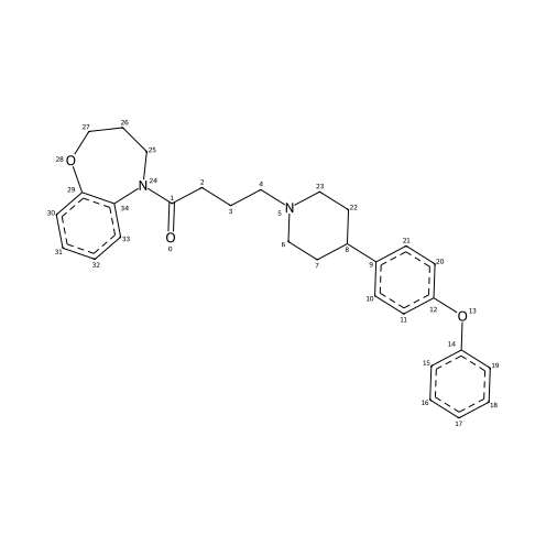 O=C(CCCN1CCC(c2ccc(Oc3ccccc3)cc2)CC1)N1CCCOc2ccccc21